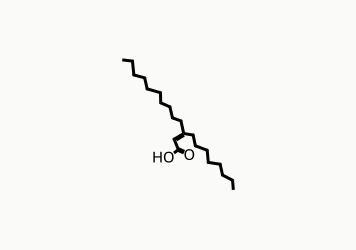 CCCCCCCCCCC(=CC(=O)O)CCCCCCCC